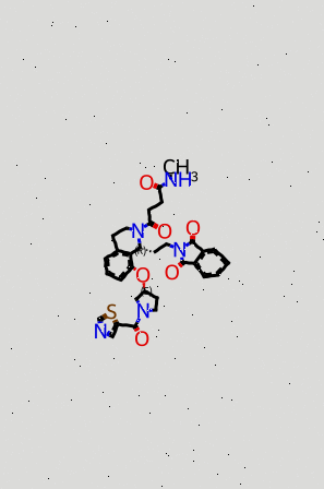 CNC(=O)CCC(=O)N1CCc2cccc(O[C@H]3CCN(C(=O)c4cncs4)C3)c2[C@H]1CCN1C(=O)c2ccccc2C1=O